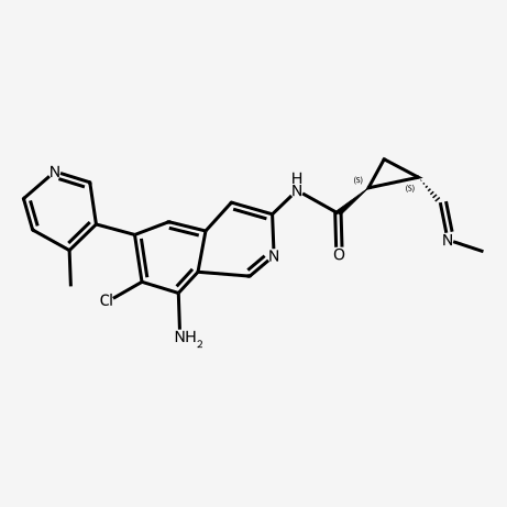 CN=C[C@H]1C[C@@H]1C(=O)Nc1cc2cc(-c3cnccc3C)c(Cl)c(N)c2cn1